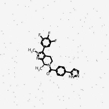 C[C@H]1c2nn(C)c(-c3cc(F)c(F)c(F)c3)c2CCN1C(=O)c1ccc(-c2ccn[nH]2)cc1